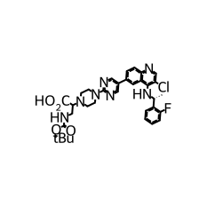 C[C@@H](Nc1c(Cl)cnc2ccc(-c3cnc(N4CCN(C(CNC(=O)OC(C)(C)C)C(=O)O)CC4)nc3)cc12)c1ccccc1F